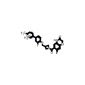 CC(/C=C\C(=C/N)c1ccc(OCC2CN(C(=O)c3cc4c(cc3F)OCC(=O)N4)C2)c(F)c1)C(F)(F)F